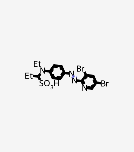 CCC(N(CC)c1ccc(/N=N/c2ncc(Br)cc2Br)cc1)S(=O)(=O)O